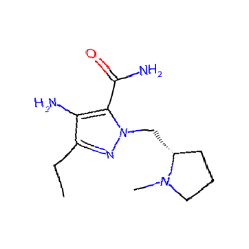 CCc1nn(C[C@@H]2CCCN2C)c(C(N)=O)c1N